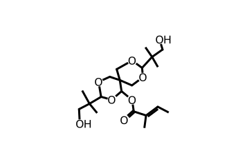 CC=C(C)C(=O)OC1OC(C(C)(C)CO)OCC12COC(C(C)(C)CO)OC2